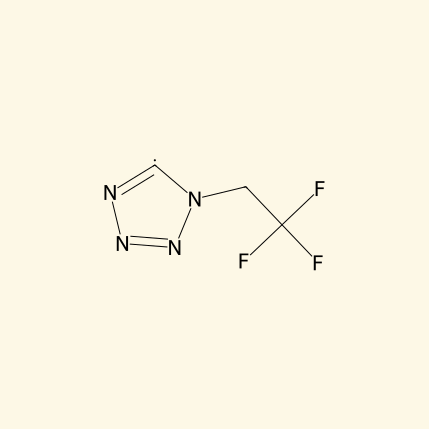 FC(F)(F)Cn1[c]nnn1